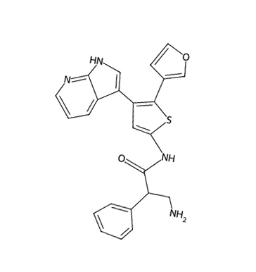 NCC(C(=O)Nc1cc(-c2c[nH]c3ncccc23)c(-c2ccoc2)s1)c1ccccc1